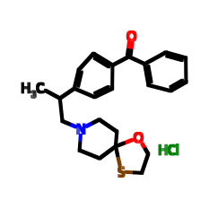 CC(CN1CCC2(CC1)OCCS2)c1ccc(C(=O)c2ccccc2)cc1.Cl